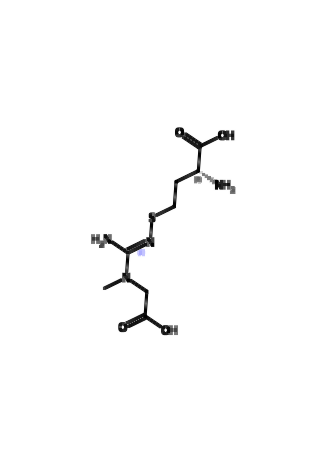 CN(CC(=O)O)/C(N)=N/SCC[C@@H](N)C(=O)O